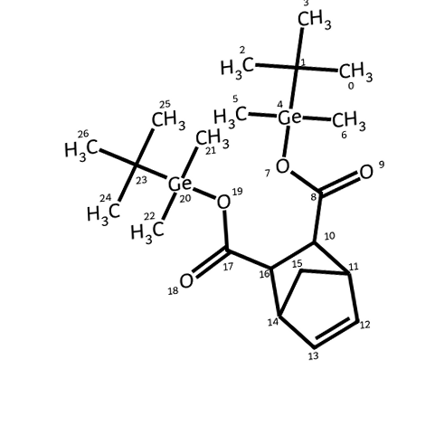 C[C](C)(C)[Ge]([CH3])([CH3])[O]C(=O)C1C2C=CC(C2)C1C(=O)[O][Ge]([CH3])([CH3])[C](C)(C)C